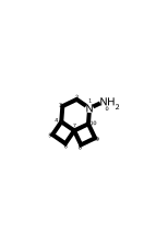 NN1CCC2CCC23CCC13